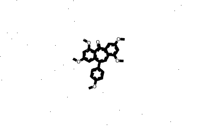 COc1ccc(-c2cc3c(OC)cc(OC)cc3c(=O)c3c(OC)cc(OC)cc23)cc1